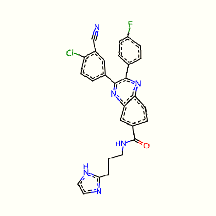 N#Cc1cc(-c2nc3cc(C(=O)NCCCc4ncc[nH]4)ccc3nc2-c2ccc(F)cc2)ccc1Cl